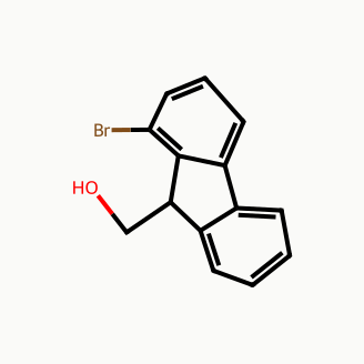 OCC1c2ccccc2-c2cccc(Br)c21